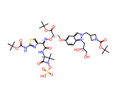 CC(C)(C)OC(=O)Nc1nc(/C(=N/O[C@@H](COc2ccc3c(c2)cn(CC2CN(C(=O)OC(C)(C)C)C2)[n+]3C[C@H](O)CO)C(=O)OC(C)(C)C)C(=O)N[C@@H]2C(=O)N(OS(=O)(=O)O)C2(C)C)cs1